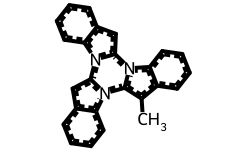 Cc1c2ccccc2n2c3cc4ccccc4n3c3cc4ccccc4n3c12